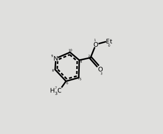 CCOC(=O)c1[c]c(C)cnc1